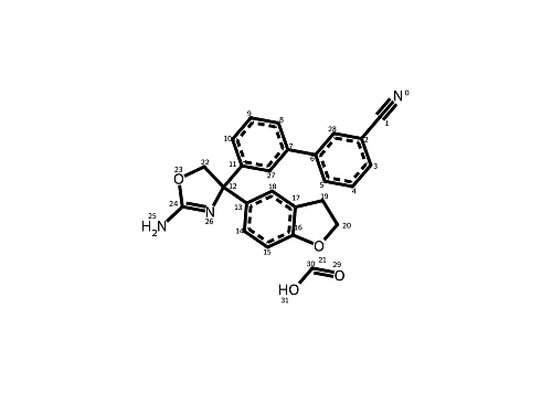 N#Cc1cccc(-c2cccc(C3(c4ccc5c(c4)CCO5)COC(N)=N3)c2)c1.O=CO